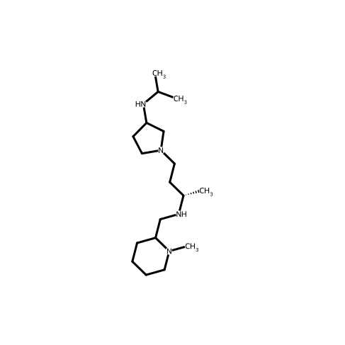 CC(C)NC1CCN(CC[C@H](C)NCC2CCCCN2C)C1